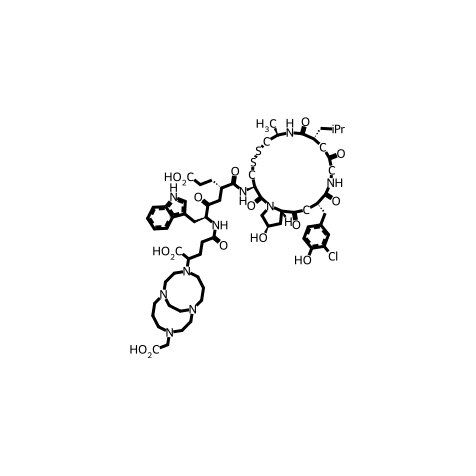 CC(C)C[C@@H]1CC(=O)CNC(=O)[C@H](Cc2ccc(O)c(Cl)c2)CC(=O)[C@@H]2C[C@@H](O)CN2C(=O)[C@@H](NC(=O)[C@@H](CCC(=O)O)CC(=O)[C@H](Cc2c[nH]c3ccccc23)NC(=O)CCC(C(=O)O)N2CCCN3CCN(CCCN(CC(=O)O)CC3)CC2)CSSC[C@@H](C)NC1=O